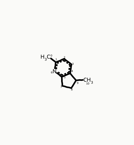 Cc1ccc2c(n1)CCC2C